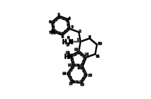 NC1(Cc2cccnc2)CCCc2c1[nH]c1ccccc21